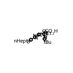 CCCCCCCOc1ccc(-c2cnc(-c3ccc(C[C@H](NC(=O)c4ccc(C(C)(C)C)cc4)C(=O)NC(CC)C(=O)O)cc3)nc2)cc1